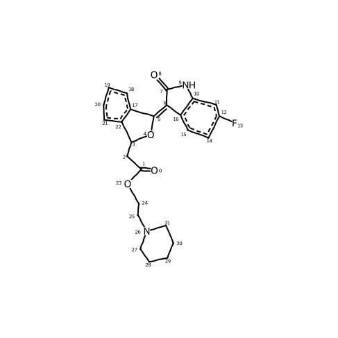 O=C(CC1OC(=C2C(=O)Nc3cc(F)ccc32)c2ccccc21)OCCN1CCCCC1